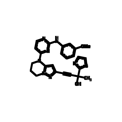 COc1cccc(Nc2nccc(N3CCCn4nc(C#CC(C)(O)c5nccs5)cc43)n2)c1